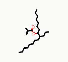 C=C(C)C(=O)OC(CCCCCCC)C(CCC)CCCC/C=C/CC